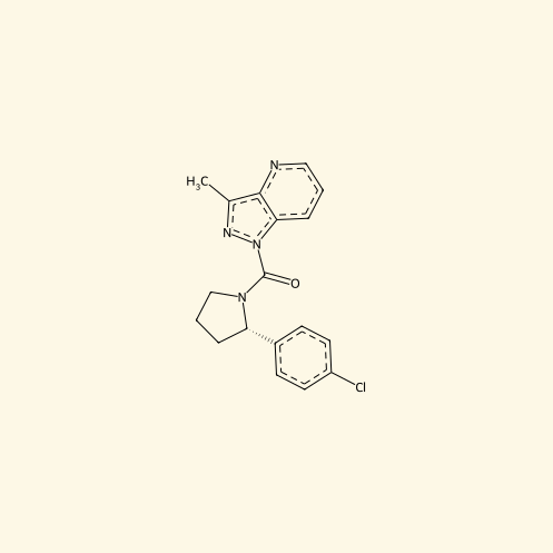 Cc1nn(C(=O)N2CCC[C@H]2c2ccc(Cl)cc2)c2cccnc12